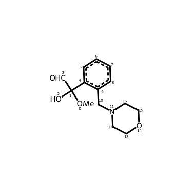 COC(O)(C=O)c1ccccc1CN1CCOCC1